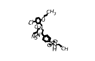 C#CCNS(=O)(=O)c1ccc(CCN(Cc2cc(Cl)ccc2OCCC)C(=O)c2cnsn2)cc1